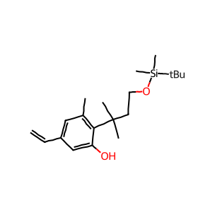 C=Cc1cc(C)c(C(C)(C)CCO[Si](C)(C)C(C)(C)C)c(O)c1